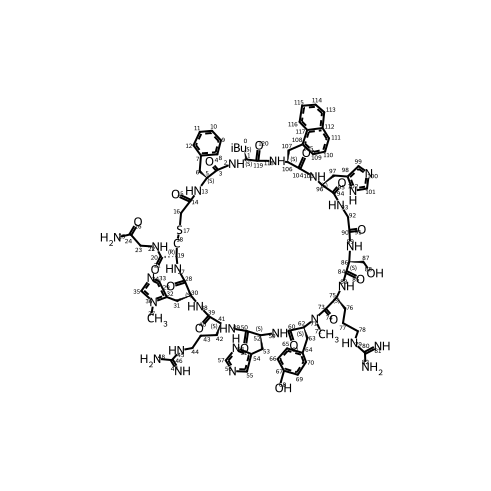 CC[C@H](C)[C@@H]1NC(=O)[C@H](Cc2ccccc2)NC(=O)CSC[C@@H](C(=O)NCC(N)=O)NC(=O)[C@H](Cc2cncn2C)NC(=O)[C@H](CCCNC(=N)N)NC(=O)[C@H](Cc2cnc[nH]2)NC(=O)[C@H](Cc2ccc(O)cc2)N(C)C(=O)[C@H](CCCNC(=N)N)NC(=O)[C@H](CO)NC(=O)CNC(=O)[C@H](Cc2cnc[nH]2)NC(=O)[C@H](Cc2cccc3ccccc23)NC1=O